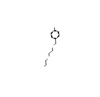 CC(=O)c1ccc(COCCOCCO)cc1